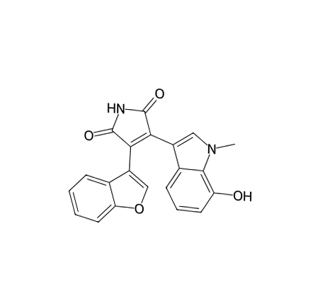 Cn1cc(C2=C(c3coc4ccccc34)C(=O)NC2=O)c2cccc(O)c21